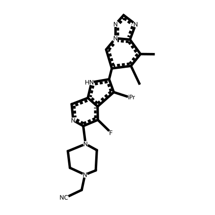 Cc1c(-c2[nH]c3cnc(N4CCN(CC#N)CC4)c(F)c3c2C(C)C)cn2ncnc2c1C